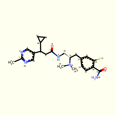 Cc1ncc(C(CC(=O)NC[C@H](Cc2ccc(C(N)=O)c(F)c2)N(C)C)C2CC2)cn1